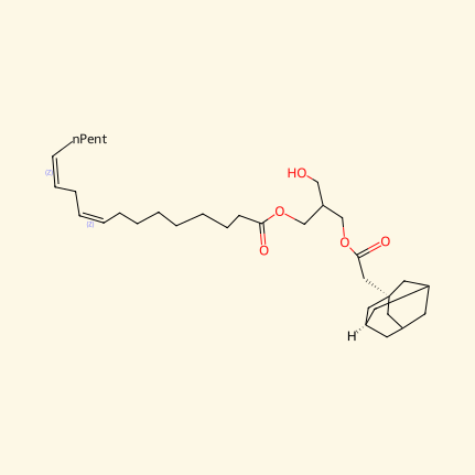 CCCCC/C=C\C/C=C\CCCCCCCC(=O)OCC(CO)COC(=O)C[C@]12CC3CC(C[C@@H](C3)C1)C2